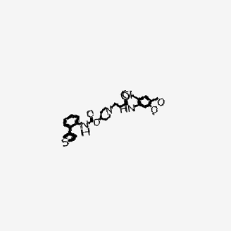 COc1cc(NC(=O)CCN2CCC(OC(=O)Nc3ccccc3-c3ccsc3)CC2)c(Cl)cc1C=O